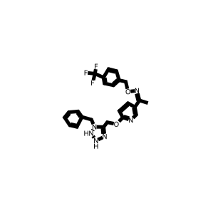 CC(=NOCc1ccc(C(F)(F)F)cc1)c1ccc(OCC2=NNNN2Cc2ccccc2)nc1